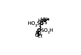 CCS(=O)(=O)N(C)c1ccc(/C=C/c2ccc(NC(=S)NC3CC3)cc2S(=O)(=O)O)c(S(=O)(=O)O)c1